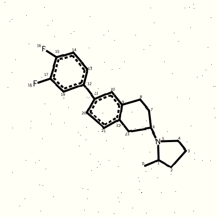 CC1CCCN1C1CCc2cc(-c3ccc(F)c(F)c3)ccc2C1